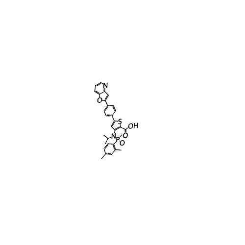 Cc1ccc(P(C)(=O)N(c2cc(-c3ccc(-c4cc5ncccc5o4)cc3)sc2C(=O)O)C(C)C)c(C)c1